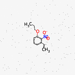 C=[C]c1cccc(OCCC)c1[N+](=O)[O-]